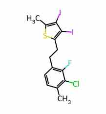 Cc1ccc(CCc2sc(C)c(I)c2I)c(F)c1Cl